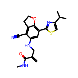 C=C(CNc1cc(-c2nc(C(C)C)cs2)c2c(c1C#N)CCO2)C(=O)NC